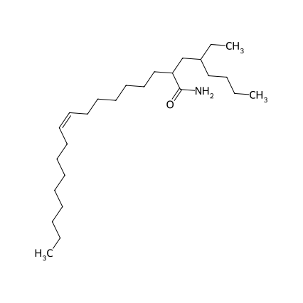 CCCCCCCC/C=C\CCCCCCC(CC(CC)CCCC)C(N)=O